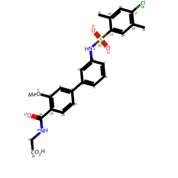 COc1cc(-c2cccc(NS(=O)(=O)c3cc(C)c(Cl)cc3C)c2)ccc1C(=O)NCC(=O)O